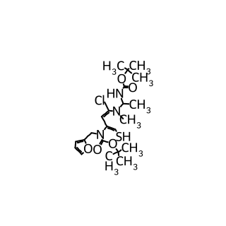 CC(NC(=O)OC(C)(C)C)N(C)/C(Cl)=C\C(=C\S)N(Cc1ccco1)C(=O)OC(C)(C)C